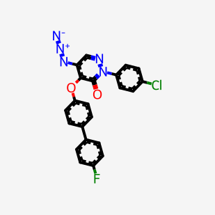 [N-]=[N+]=Nc1cnn(-c2ccc(Cl)cc2)c(=O)c1Oc1ccc(-c2ccc(F)cc2)cc1